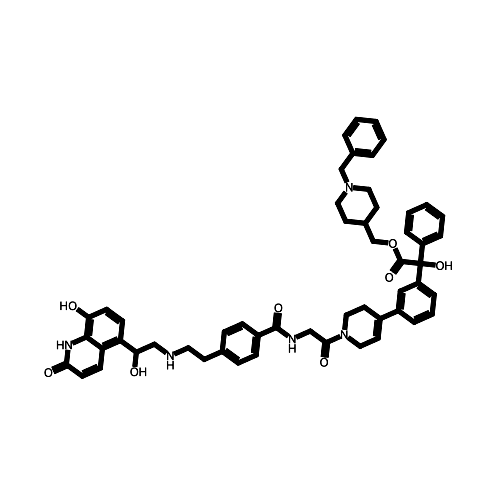 O=C(NCC(=O)N1CC=C(c2cccc(C(O)(C(=O)OCC3CCN(Cc4ccccc4)CC3)c3ccccc3)c2)CC1)c1ccc(CCNCC(O)c2ccc(O)c3[nH]c(=O)ccc23)cc1